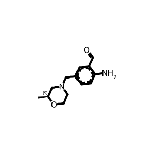 C[C@H]1CN(Cc2ccc(N)c(C=O)c2)CCO1